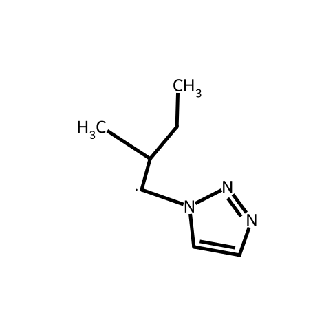 CCC(C)[CH]n1ccnn1